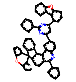 c1ccc(-c2nc(-c3ccc4nc(-c5ccccc5)c5ccc6c(c5c4c3)-c3ccccc3C63c4ccccc4Oc4ccccc43)cc(-c3cccc4oc5ccccc5c34)n2)cc1